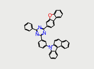 c1ccc(-c2nc(-c3cccc(-n4c5ccccc5c5c6ccccc6ccc54)c3)nc(-c3ccc4c(c3)oc3ccccc34)n2)cc1